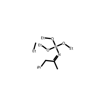 CCC.CCO[Si](N=C(C)CC(C)C)(OCC)OCC